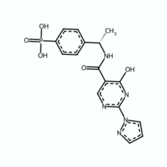 C[C@H](NC(=O)c1cnc(-n2cccn2)nc1O)c1ccc(P(=O)(O)O)cc1